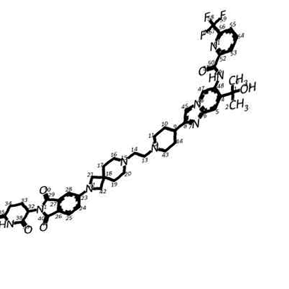 CC(C)(O)c1cc2nc(C3CCN(CCN4CCC5(CC4)CN(c4ccc6c(c4)C(=O)N(C4CCC(=O)NC4=O)C6=O)C5)CC3)cn2cc1NC(=O)c1cccc(C(F)(F)F)n1